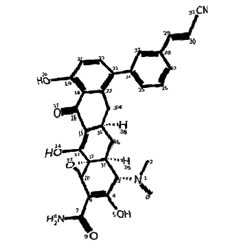 CN(C)[C@@H]1C(O)=C(C(N)=O)C2O[C@@]23C(O)=C2C(=O)c4c(O)ccc(-c5cccc(/C=C/C#N)c5)c4C[C@H]2C[C@@H]13